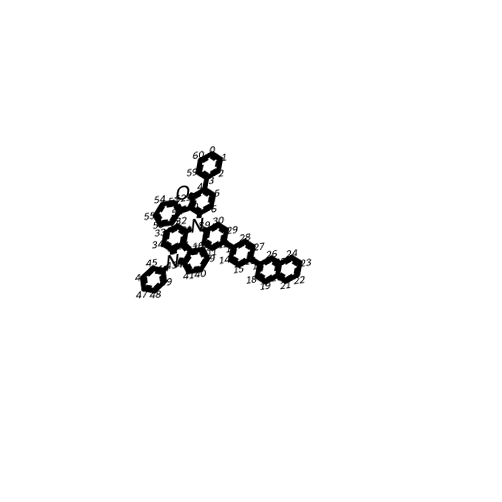 c1ccc(-c2ccc(N(c3ccc(-c4ccc(-c5ccc6ccccc6c5)cc4)cc3)c3cccc4c3c3ccccc3n4-c3ccccc3)c3c2oc2ccccc23)cc1